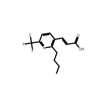 CCCCc1nc(C(F)(F)F)ccc1C=CC(=O)O